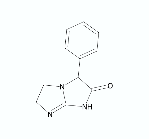 O=C1NC2=NCCN2C1c1ccccc1